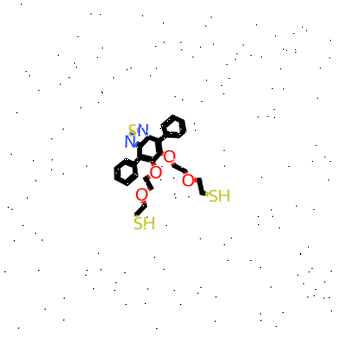 SCCOCCOc1c(OCCOCCS)c(-c2ccccc2)c2nsnc2c1-c1ccccc1